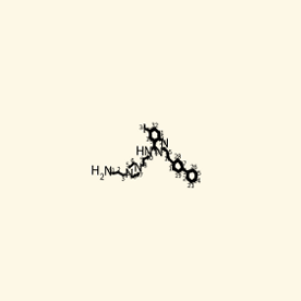 NCCCN1CCN(CCCNc2nc(C=Cc3ccc(-c4ccccc4)cc3)nc3ccc(I)cc23)CC1